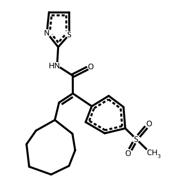 CS(=O)(=O)c1ccc(/C(=C\C2CCCCCCC2)C(=O)Nc2nccs2)cc1